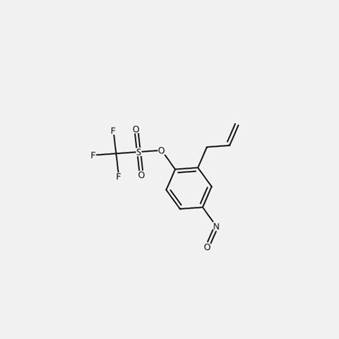 C=CCc1cc(N=O)ccc1OS(=O)(=O)C(F)(F)F